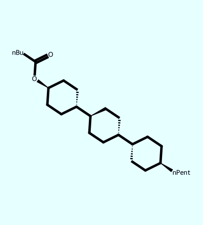 CCCCC[C@H]1CC[C@H]([C@H]2CC[C@H]([C@H]3CC[C@H](OC(=O)CCCC)CC3)CC2)CC1